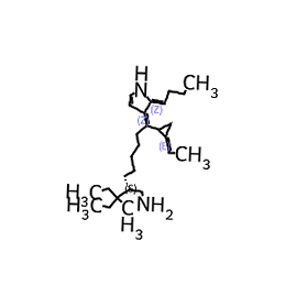 C/C=C1\CC1/C(CCCCC[C@H](CN)C(C)(CC)CC)=c1/cc[nH]/c1=C\CCC